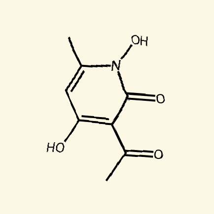 CC(=O)c1c(O)cc(C)n(O)c1=O